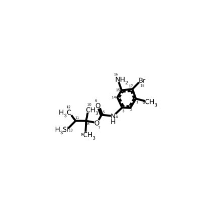 Cc1cc(NC(=O)OC(C)(C)C(C)[SiH3])cc(N)c1Br